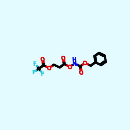 O=C(CCOC(=O)C(F)(F)F)ONC(=O)OCc1ccccc1